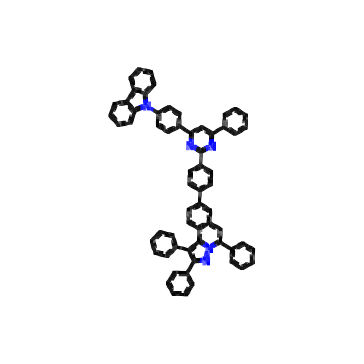 c1ccc(-c2cc(-c3ccc(-n4c5ccccc5c5ccccc54)cc3)nc(-c3ccc(-c4ccc5c(c4)cc(-c4ccccc4)n4nc(-c6ccccc6)c(-c6ccccc6)c54)cc3)n2)cc1